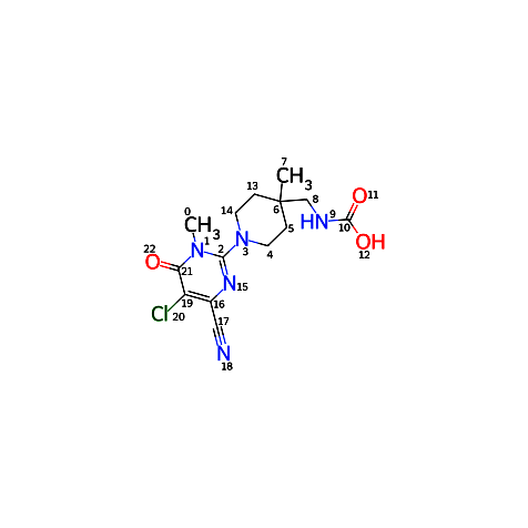 Cn1c(N2CCC(C)(CNC(=O)O)CC2)nc(C#N)c(Cl)c1=O